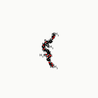 COCCn1c(Cc2cc(F)c(-c3cccc(OCc4ccc(C(C)(F)F)cc4)n3)cc2F)nc2ccc(C(=O)OC(=O)c3ccc4nc(Cc5cc(F)c(-c6cccc(OCc7ccc(C(C)(F)F)cc7)n6)cc5F)n(CCOC)c4c3)cc21